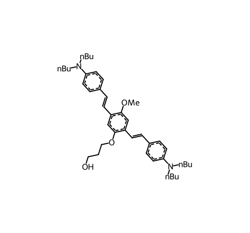 CCCCN(CCCC)c1ccc(C=Cc2cc(OCCCO)c(C=Cc3ccc(N(CCCC)CCCC)cc3)cc2OC)cc1